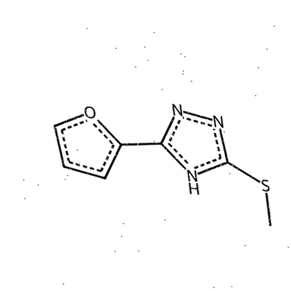 CSc1nnc(-c2ccco2)[nH]1